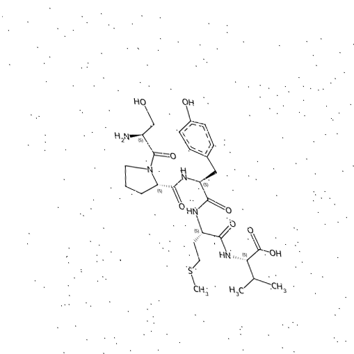 CSCC[C@H](NC(=O)[C@H](Cc1ccc(O)cc1)NC(=O)[C@@H]1CCCN1C(=O)[C@@H](N)CO)C(=O)N[C@H](C(=O)O)C(C)C